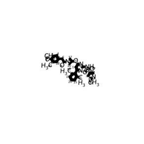 COc1ccc(CC(=O)N2CC(Oc3cc(-c4c(C)cccc4C)nc(NS(=O)(=O)c4cnn(C)c4)n3)C2)cc1C